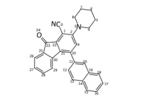 N#Cc1c(N2CCCCC2)cc(-c2ccc3ccccc3c2)c2c1C(=O)c1ccccc1-2